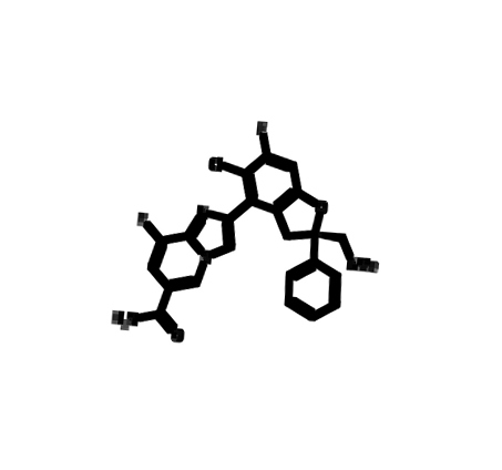 CNC[C@@]1(c2ccccc2)Cc2c(cc(F)c(Cl)c2-c2cn3cc(C(N)=O)cc(F)c3n2)O1